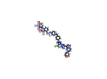 CN(Cc1cccc2c1n(C)c(=O)n2C1CCC(=O)NC1=O)CC1CCN(CC2CCC(n3cc(-n4cc(-c5cnn6ccc(N7CCOCC7)nc56)nn4)c(C(F)F)n3)CC2)CC1